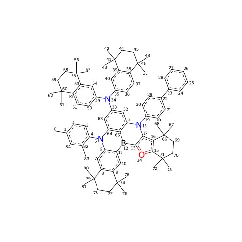 Cc1ccc(N2c3cc4c(cc3B3c5oc6c(c5N(c5ccc(-c7ccccc7)cc5)c5cc(N(c7ccc8c(c7)C(C)(C)CCC8(C)C)c7ccc8c(c7)C(C)(C)CCC8(C)C)cc2c53)C(C)(C)CCC6(C)C)C(C)(C)CCC4(C)C)c(C)c1